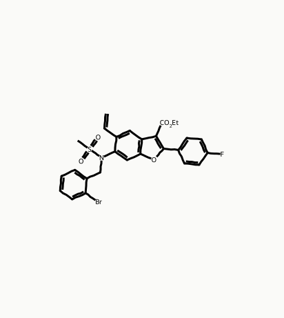 C=Cc1cc2c(C(=O)OCC)c(-c3ccc(F)cc3)oc2cc1N(Cc1ccccc1Br)S(C)(=O)=O